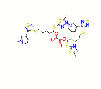 Cc1nnc(SC(CCCCSc2nsnc2C2=CCCN(C)C2)OC(=O)C(=O)OC(CCCCSc2nsnc2C2=CCCN(C)C2)Sc2nnc(C)s2)s1